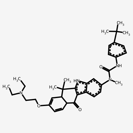 CCN(CC)CCOC1=CC2C(C=C1)C(=O)c1c([nH]c3cc(N(C)C(=O)Nc4ccc(C(C)(C)C)cc4)ccc13)C2(C)C